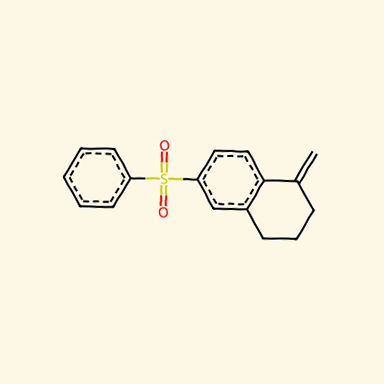 C=C1CCCc2cc(S(=O)(=O)c3ccccc3)ccc21